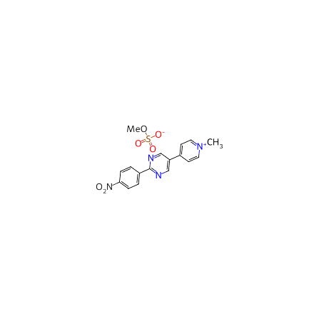 COS(=O)(=O)[O-].C[n+]1ccc(-c2cnc(-c3ccc([N+](=O)[O-])cc3)nc2)cc1